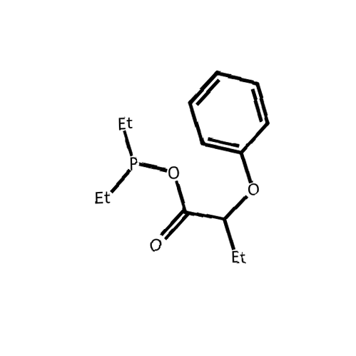 CCC(Oc1ccccc1)C(=O)OP(CC)CC